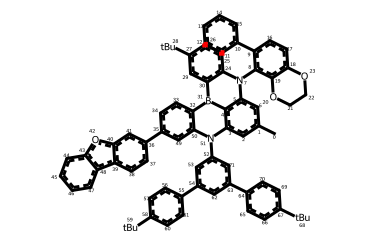 Cc1cc2c3c(c1)N(c1c(-c4ccccc4)ccc4c1OCCO4)c1ccc(C(C)(C)C)cc1B3c1ccc(-c3ccc4c(c3)oc3ccccc34)cc1N2c1cc(-c2ccc(C(C)(C)C)cc2)cc(-c2ccc(C(C)(C)C)cc2)c1